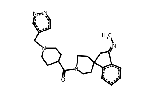 C/N=C1\CC2(CCN(C(=O)C3CCN(Cc4ccnnc4)CC3)CC2)c2ccccc21